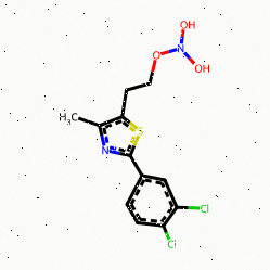 Cc1nc(-c2ccc(Cl)c(Cl)c2)sc1CCON(O)O